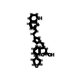 O=C(O)C[C@H](CN1CC[C@@H](CCc2ccc3c(n2)NCCC3)C1)c1cccc(N2CCOCC2)c1